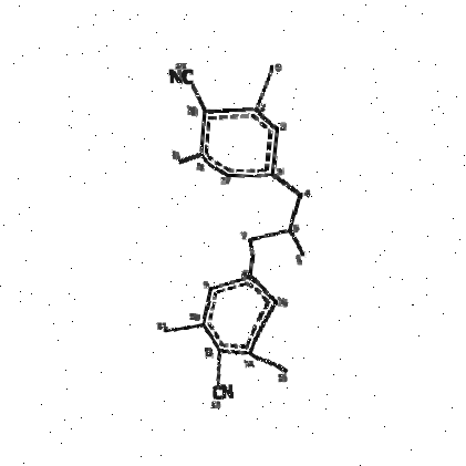 Cc1cc(CC(C)Cc2cc(C)c(C#N)c(C)c2)cc(C)c1C#N